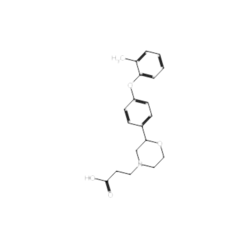 Cc1ccccc1Oc1ccc(C2CN(CCC(=O)O)CCO2)cc1